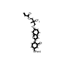 C=CC(=O)OCC(C)(COc1ccc2cc(-c3ccc(CCCCC)cc3CC)sc2c1)C(F)(F)F